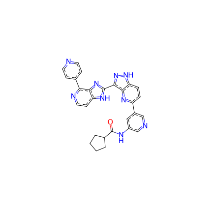 O=C(Nc1cncc(-c2ccc3[nH]nc(-c4nc5c(-c6ccncc6)nccc5[nH]4)c3n2)c1)C1CCCC1